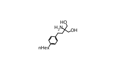 CCCCCCc1ccc(CCC(N)(CO)CO)cc1